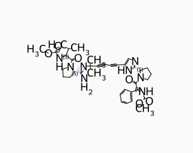 COC(=O)N[C@H](C(=O)N1CCC[C@H]1/C(N)=N/C(C)(C)C#CC#Cc1cnc([C@@H]2CCCN2C(=O)[C@H](NC(=O)OC)c2ccccc2)[nH]1)C(C)C